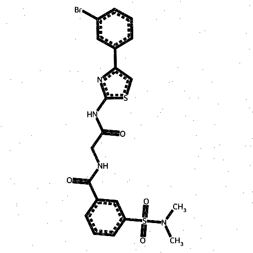 CN(C)S(=O)(=O)c1cccc(C(=O)NCC(=O)Nc2nc(-c3cccc(Br)c3)cs2)c1